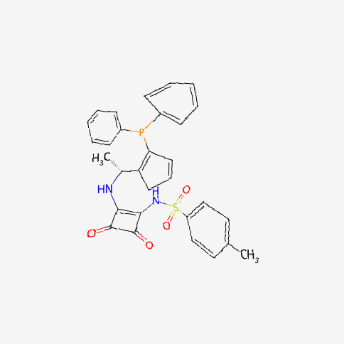 Cc1ccc(S(=O)(=O)Nc2c(N[C@H](C)C3=C(P(c4ccccc4)c4ccccc4)C=CC3)c(=O)c2=O)cc1